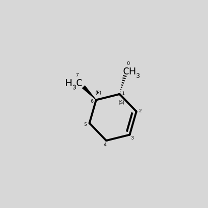 C[C@@H]1C=CCC[C@H]1C